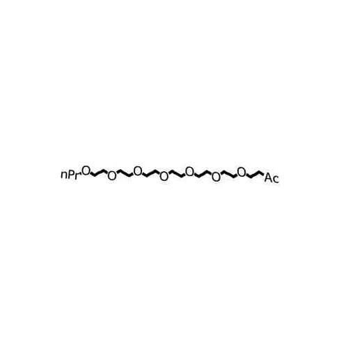 CCCOCCOCCOCCOCCOCCOCCOCCC(C)=O